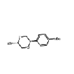 CCCCc1ccc([C@@H]2CO[C@@H](CCC)CO2)cc1